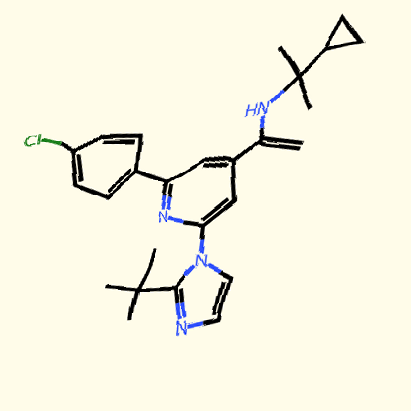 C=C(NC(C)(C)C1CC1)c1cc(-c2ccc(Cl)cc2)nc(-n2ccnc2C(C)(C)C)c1